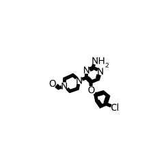 Nc1ncc(Oc2ccc(Cl)cc2)c(N2CCN(C=O)CC2)n1